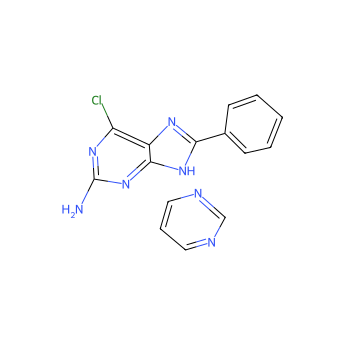 Nc1nc(Cl)c2nc(-c3ccccc3)[nH]c2n1.c1cncnc1